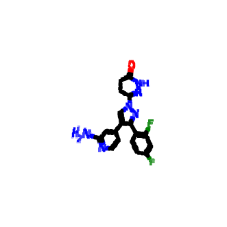 Nc1cc(-c2cn(C3=NNC(=O)CC3)nc2-c2ccc(F)cc2F)ccn1